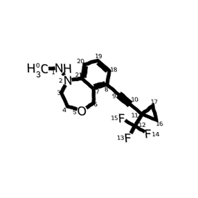 CNN1CCOCc2c(C#CC3(C(F)(F)F)CC3)cccc21